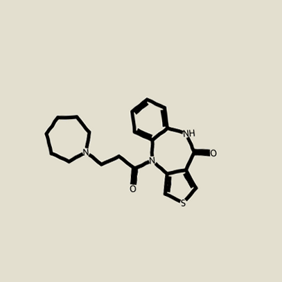 O=C1Nc2ccccc2N(C(=O)CCN2CCCCCC2)c2cscc21